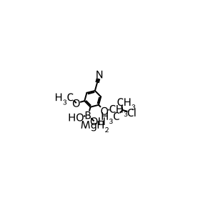 CC(C)Cl.COc1cc(C#N)cc(OC)c1B(O)O.[MgH2]